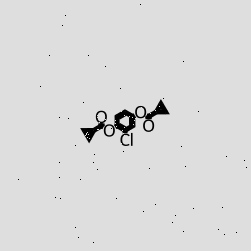 O=C(Oc1ccc(OC(=O)C2CC2)c(Cl)c1)C1CC1